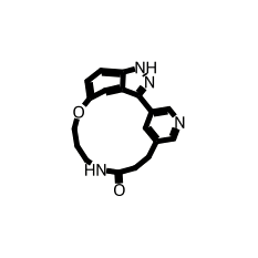 O=C1CCc2cncc(c2)-c2n[nH]c3ccc(cc23)OCCCN1